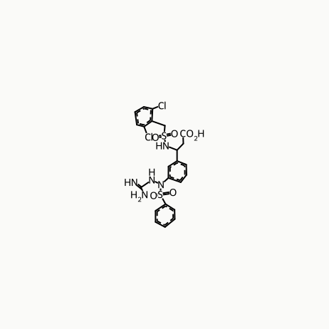 N=C(N)NN(c1cccc(C(CC(=O)O)NS(=O)(=O)Cc2c(Cl)cccc2Cl)c1)S(=O)(=O)c1ccccc1